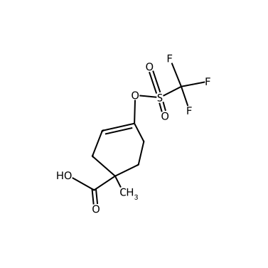 CC1(C(=O)O)CC=C(OS(=O)(=O)C(F)(F)F)CC1